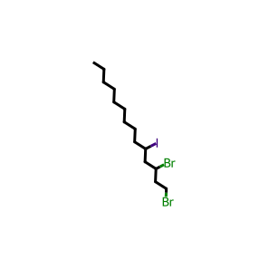 CCCCCCCCCC(I)CC(Br)CCBr